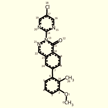 COc1cccc(-c2ccc3c(=O)n(-c4ncc(Cl)cn4)ncc3c2)c1C